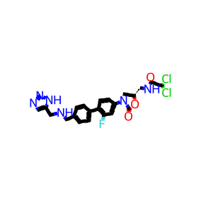 O=C(NC[C@H]1CN(c2ccc(-c3ccc(CNCc4cnn[nH]4)cc3)c(F)c2)C(=O)O1)C(Cl)Cl